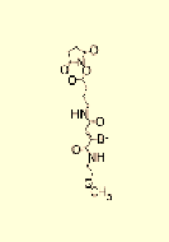 COCCNC(=O)C(Br)=CC(=O)NCCCC(=O)ON1C(=O)CCC1=O